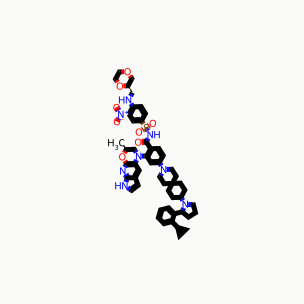 C[C@@H]1CN(c2cc(N3CCC4(CCC(N5CCCC5c5ccccc5C5CC5)CC4)CC3)ccc2C(=O)NS(=O)(=O)c2ccc(NC[C@H]3COCCO3)c([N+](=O)[O-])c2)c2cc3cc[nH]c3nc2O1